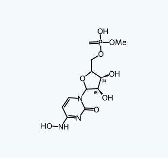 C=P(O)(OC)OCC1OC(n2ccc(NO)nc2=O)[C@H](O)[C@@H]1O